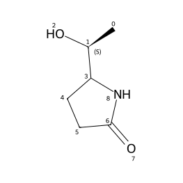 C[C@H](O)C1CCC(=O)N1